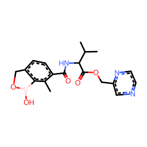 Cc1c(C(=O)NC(C(=O)OCc2cnccn2)C(C)C)ccc2c1B(O)OC2